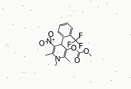 COC(=O)OC1=C(C)N(C)C(C)=C([N+](=O)[O-])C1c1ccccc1C(F)(F)F